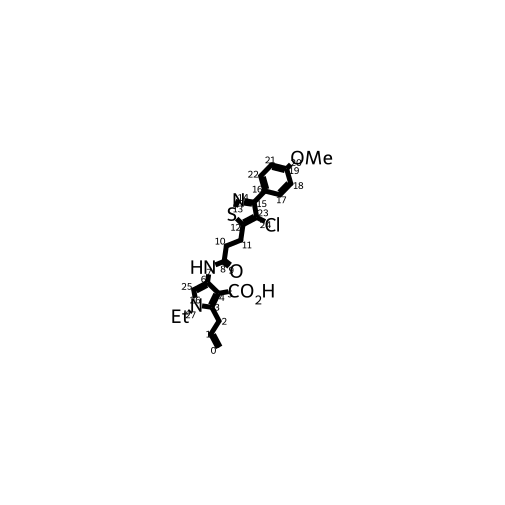 C=CCc1c(C(=O)O)c(NC(=O)CCc2snc(-c3ccc(OC)cc3)c2Cl)cn1CC